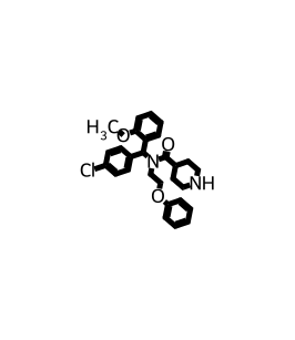 COc1ccccc1C(c1ccc(Cl)cc1)N(CCOc1ccccc1)C(=O)C1CCNCC1